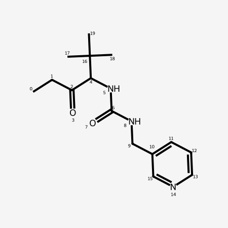 CCC(=O)C(NC(=O)NCc1cccnc1)C(C)(C)C